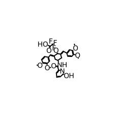 COc1ccc(/C=C2\CC(NC(=O)c3cccc(O)n3)C/C(=C\c3ccc(OC)c(OC)c3)C2=O)cc1OC.O=C(O)C(F)(F)F